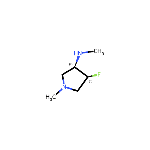 CN[C@@H]1CN(C)C[C@@H]1F